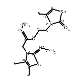 Cc1sc(=NN)n(CC(=NN)OCCn2c(C)csc2=O)c1C